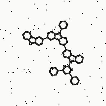 c1ccc(-c2cc(-c3ccccc3)nc(-n3c4ccccc4c4cc(-c5ccc6c(c5)c5cc(-c7ccc8oc9ccccc9c8c7)ccc5n6-c5ccccc5)ccc43)n2)cc1